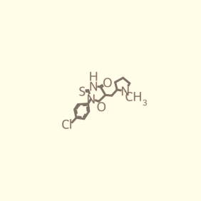 CN1CCCC1CC1C(=O)NC(=S)N(c2ccc(Cl)cc2)C1=O